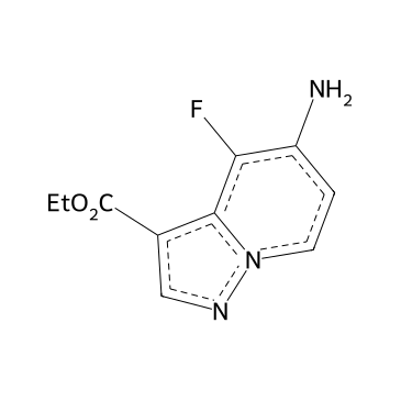 CCOC(=O)c1cnn2ccc(N)c(F)c12